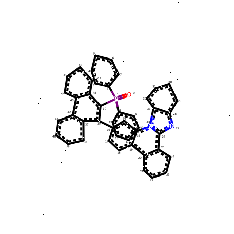 O=P(c1ccccc1)(c1ccccc1)c1c(-c2ccc3c4ccccc4c4nc5ccccc5n4c3c2)c2ccccc2c2ccccc12